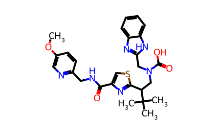 COc1ccc(CNC(=O)c2csc(C(CN(Cc3nc4ccccc4[nH]3)C(=O)O)C(C)(C)C)n2)nc1